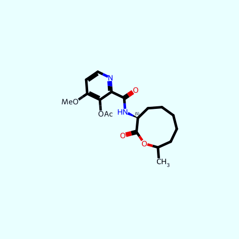 COc1ccnc(C(=O)N[C@H]2CCCCCC(C)OC2=O)c1OC(C)=O